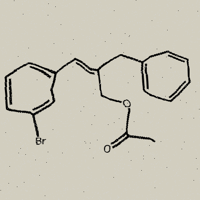 CC(=O)OCC(=Cc1cccc(Br)c1)Cc1ccccc1